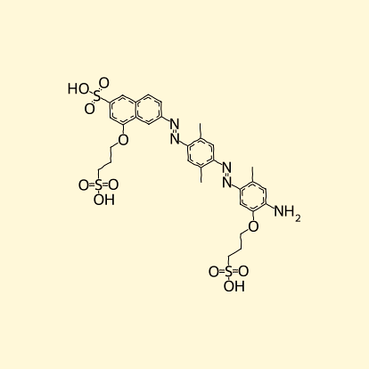 Cc1cc(N=Nc2cc(OCCCS(=O)(=O)O)c(N)cc2C)c(C)cc1N=Nc1ccc2cc(S(=O)(=O)O)cc(OCCCS(=O)(=O)O)c2c1